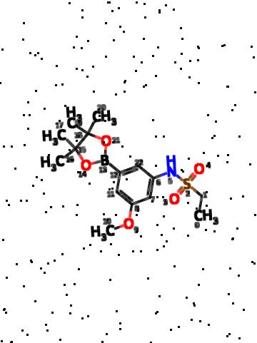 CCS(=O)(=O)Nc1cc(OC)cc(B2OC(C)(C)C(C)(C)O2)c1